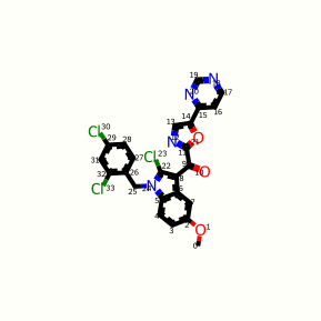 COc1ccc2c(c1)c(C(=O)c1ncc(-c3ccncn3)o1)c(Cl)n2Cc1ccc(Cl)cc1Cl